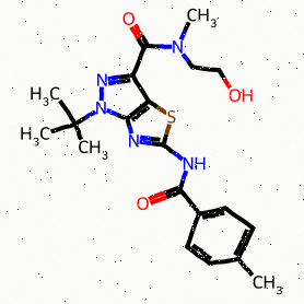 Cc1ccc(C(=O)Nc2nc3c(s2)c(C(=O)N(C)CCO)nn3C(C)(C)C)cc1